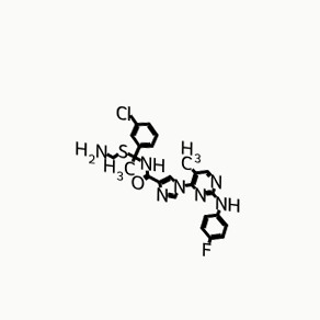 Cc1cnc(Nc2ccc(F)cc2)nc1-n1cnc(C(=O)NC(C)(SCN)c2cccc(Cl)c2)c1